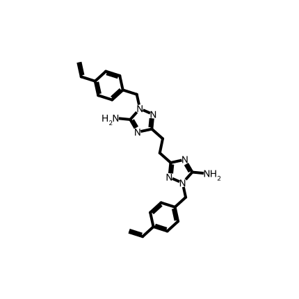 C=Cc1ccc(Cn2nc(CCc3nc(N)n(Cc4ccc(C=C)cc4)n3)nc2N)cc1